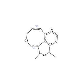 CC(C)/C1=C/OC/C=C\c2nccc(C(C)C)c21